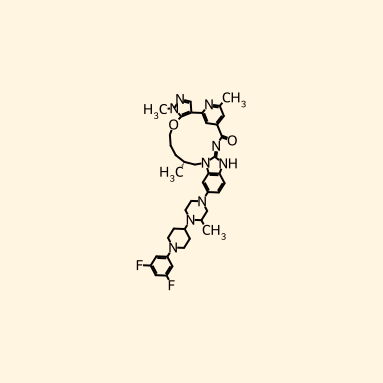 Cc1cc2cc(n1)-c1cnn(C)c1OCCC[C@@H](C)CN1/C(=N/C2=O)Nc2ccc(N3CCN(C4CCN(c5cc(F)cc(F)c5)CC4)C(C)C3)cc21